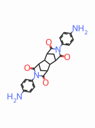 Nc1ccc(N2C(=O)C3CC(C2=O)C2C4CC(C(=O)N(c5ccc(N)cc5)C4=O)C32)cc1